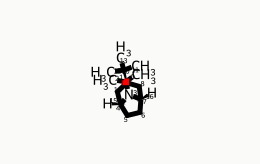 CC(C)N1[C@@H]2CC[C@H]1C[C@H](C(C)(C)C)C2